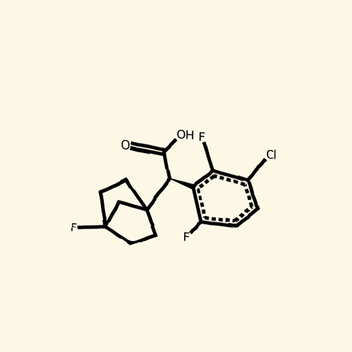 O=C(O)[C@@H](c1c(F)ccc(Cl)c1F)C12CCC(F)(CC1)C2